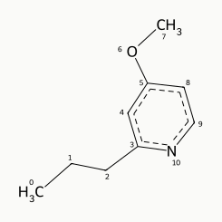 CCCc1cc(OC)ccn1